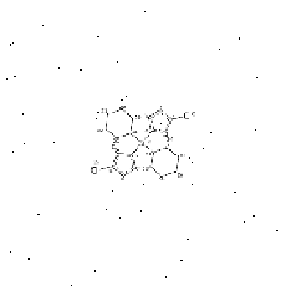 Clc1ccc([Si](c2ccc(Cl)s2)(C2CCCCC2)C2CCCCC2)s1